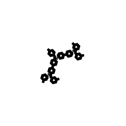 Cc1ccc(N(c2ccc(-c3ccc(N(c4cccc(C)c4)c4cccc(C)c4)cc3)cc2)c2ccc(-c3ccc(N(c4cccc(C)c4)c4cccc(C)c4)cc3)cc2)cc1